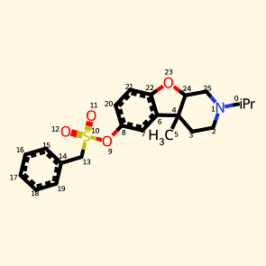 CC(C)N1CCC2(C)c3cc(OS(=O)(=O)Cc4ccccc4)ccc3OC2C1